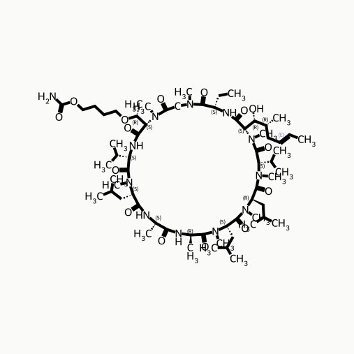 C/C=C/C[C@@H](C)[C@@H](O)[C@H]1C(=O)N[C@@H](CC)C(=O)N(C)CC(=O)N(C)[C@@H]([C@@H](C)OCCCCOC(N)=O)C(=O)N[C@@H](C(C)C)C(=O)N(C)[C@@H](CC(C)C)C(=O)N[C@@H](C)C(=O)N[C@H](C)C(=O)N(C)[C@@H](CC(C)C)C(=O)N(C)[C@H](CC(C)C)C(=O)N(C)[C@@H](C(C)C)C(=O)N1C